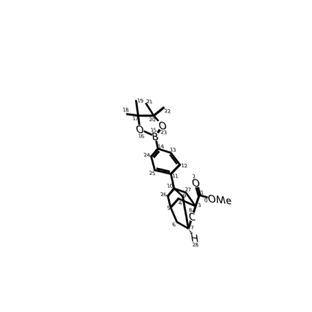 COC(=O)C12CC3C[C@H](C1)CC(c1ccc(B4OC(C)(C)C(C)(C)O4)cc1)(C3)C2